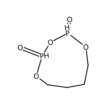 O=[PH]1OCCCCO[PH](=O)O1